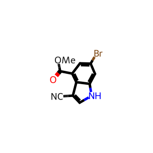 COC(=O)c1cc(Br)cc2[nH]cc(C#N)c12